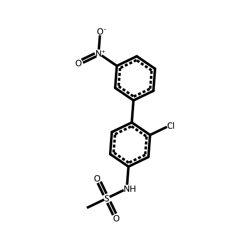 CS(=O)(=O)Nc1ccc(-c2cccc([N+](=O)[O-])c2)c(Cl)c1